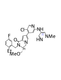 CCc1ccc(F)cc1CN1C(=O)c2cc(-c3cc(N/C(C=N)=C/NC)ncc3Cl)cn2C[C@@H]1COC